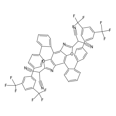 N#CC(C#N)c1nc2c(-c3ccccc3-c3ccc(-c4cc(C(F)(F)F)cc(C(F)(F)F)c4)cc3)c3oc(C(C#N)C#N)nc3c(-c3ccccc3-c3ccc(-c4cc(C(F)(F)F)cc(C(F)(F)F)c4)cc3)c2o1